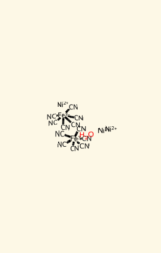 N#[C][Fe-3]([C]#N)([C]#N)([C]#N)([C]#N)[C]#N.N#[C][Fe-3]([C]#N)([C]#N)([C]#N)([C]#N)[C]#N.O.[Ni+2].[Ni+2].[Ni+2]